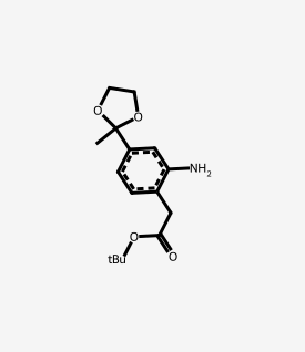 CC(C)(C)OC(=O)Cc1ccc(C2(C)OCCO2)cc1N